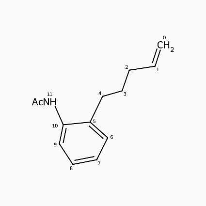 C=CCCCc1ccccc1NC(C)=O